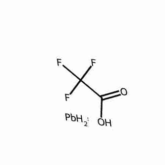 O=C(O)C(F)(F)F.[PbH2]